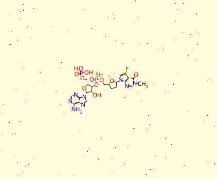 Cn1cnc2c(c(F)cn2[C@H]2CC[C@@H](COP(=O)(S)O[C@H]3[C@@H](O)[C@H](n4cnc5c(N)ncnc54)O[C@@H]3COP(=O)(O)O)O2)c1=O